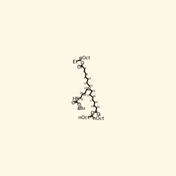 CCCCCCCCC(CC)OC(=O)CCCCCCCN(CCCCCCCC(=O)OC(CCCCCCCC)CCCCCCCC)CCCCNC(=O)OC(C)(C)C